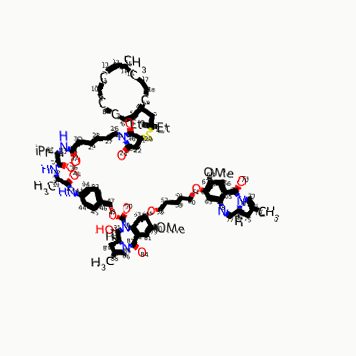 CCC(CC)(CC1CCCCCCCCCC(C)CCCC1)SC1CC(=O)N(CCCCCC(=O)N[C@H](C(=O)N[C@@H](C)C(=O)Nc2ccc(COC(=O)N3c4cc(OCCCCCOc5cc6c(cc5OC)C(=O)N5C=C(C)C[C@H]5C=N6)c(OC)cc4C(=O)N4C=C(C)C[C@H]4[C@@H]3O)cc2)C(C)C)C1=O